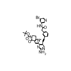 Cn1c(-c2nc(N)ncc2C#Cc2cccc(CC(=O)Nc3cncc(Br)c3)c2)cc2c1CCN(C(=O)OC(C)(C)C)C2=O